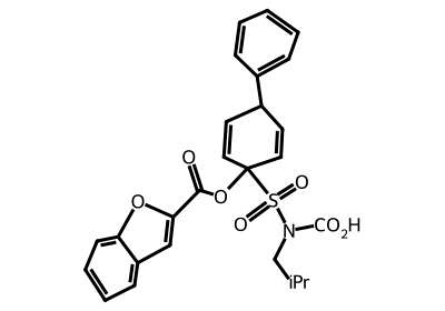 CC(C)CN(C(=O)O)S(=O)(=O)C1(OC(=O)c2cc3ccccc3o2)C=CC(c2ccccc2)C=C1